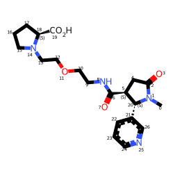 CN1C(=O)C[C@H](C(=O)NCCOCCN2CCC[C@H]2C(=O)O)[C@H]1c1cccnc1